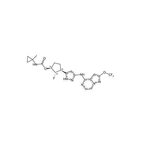 CC1(NC(=O)O[C@H]2CC[C@@H](c3cc(Nc4nccn5nc(OC(F)(F)F)cc45)n[nH]3)[C@@H]2F)CC1